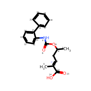 C/C(=C\CC(C)OC(=O)Nc1ccccc1-c1ccccc1)C(=O)O